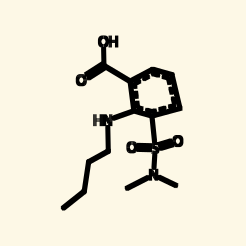 CCCCNc1c(C(=O)O)cccc1S(=O)(=O)N(C)C